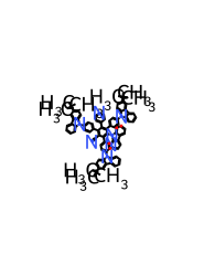 CC(C)(C)c1ccc2c(c1)c1ccccc1n2-c1ccc(-c2c(C#N)c(-c3ccc(-n4c5ccccc5c5cc(C(C)(C)C)ccc54)cc3)c(-n3c4ccccc4c4cccnc43)c(-c3ccc(-n4c5ccccc5c5cc(C(C)(C)C)ccc54)cc3)c2-c2ccncc2)cc1